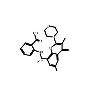 Cc1cc([C@H](C)Nc2ccccc2C(=O)O)c2oc(N3CCOCC3)c(C)c(=O)c2c1